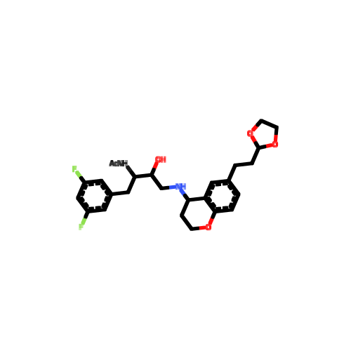 CC(=O)NC(Cc1cc(F)cc(F)c1)C(O)CNC1CCOc2ccc(CCC3OCCO3)cc21